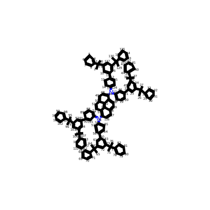 CC(C)(c1ccccc1)c1cc(-c2ccc(N(c3cccc(-c4cc(C(C)(C)c5ccccc5)cc(C(C)(C)c5ccccc5)c4)c3)c3ccc4ccc5c(N(c6ccc(-c7cc(C(C)(C)c8ccccc8)cc(C(C)(C)c8ccccc8)c7)cc6)c6cccc(-c7cc(C(C)(C)c8ccccc8)cc(C(C)(C)c8ccccc8)c7)c6)ccc6ccc3c4c65)cc2)cc(C(C)(C)c2ccccc2)c1